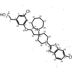 O=C(O)Cc1cc(Cl)cc(OCCC2(N3CCCCCC3)CCN(c3nc4ccc(Cl)cc4s3)CC2)c1